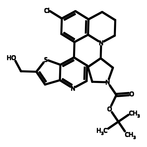 CC(C)(C)OC(=O)N1CCC(N2CCCc3cc(Cl)cc(-c4ccnc5cc(CO)sc45)c32)C1